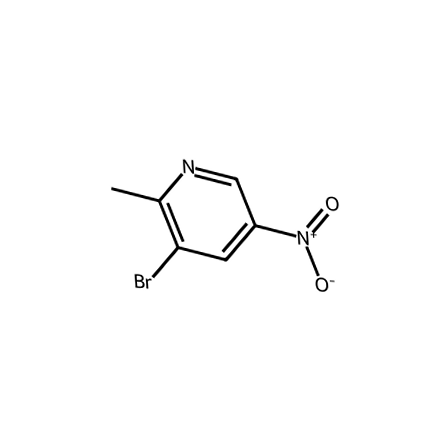 Cc1ncc([N+](=O)[O-])cc1Br